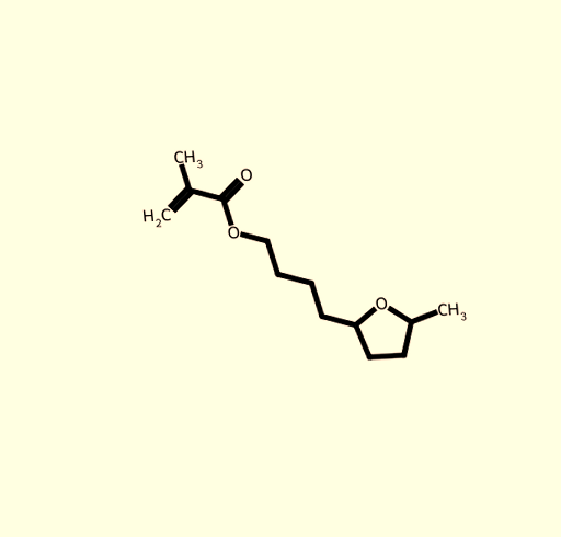 C=C(C)C(=O)OCCCCC1CCC(C)O1